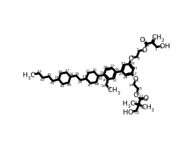 C=C(CO)C(=O)OCCOc1cc(OCCOC(=O)C(C)(C)CO)cc(-c2ccc(C3CCC(CCC4CCC(CCCCC)CC4)CC3)c(CC)c2)c1